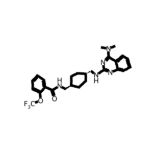 CN(C)c1nc(NC[C@H]2CC[C@H](CNC(=O)c3ccccc3OC(F)(F)F)CC2)nc2ccccc12